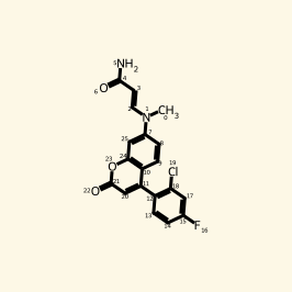 CN(C=CC(N)=O)c1ccc2c(-c3ccc(F)cc3Cl)cc(=O)oc2c1